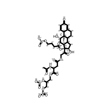 CC(=O)NC(CC(=O)OCC(=O)[C@@]1(OC(=O)CCCO[N+](=O)[O-])[C@H](O)CC2C3CCC4=CC(=O)C=C[C@]4(C)[C@@]3(F)[C@@H](O)C[C@@]21C)C(=O)OCC(CO[N+](=O)[O-])O[N+](=O)[O-]